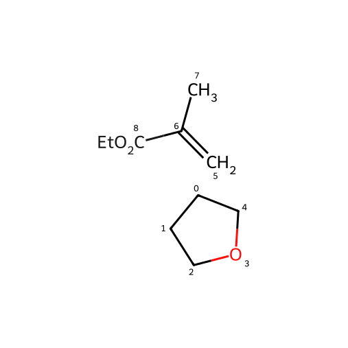 C1CCOC1.C=C(C)C(=O)OCC